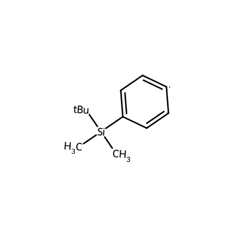 CC(C)(C)[Si](C)(C)c1cc[c]cc1